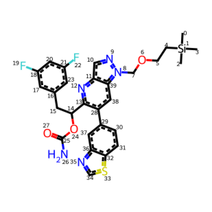 C[Si](C)(C)CCOCn1ncc2nc(C(Cc3cc(F)cc(F)c3)OC(N)=O)c(-c3ccc4scnc4c3)cc21